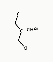 Cl.ClCOCCl.[Zn]